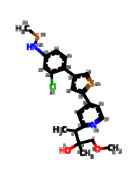 COCC(C)(O)C(C)c1cc(-c2cc(-c3ccc(NSC)cc3Cl)cs2)ccn1